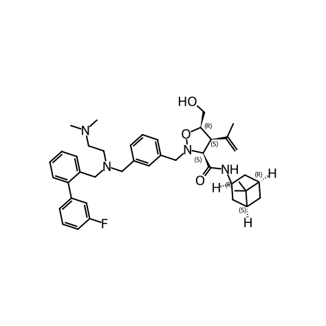 C=C(C)[C@@H]1[C@H](CO)ON(Cc2cccc(CN(CCN(C)C)Cc3ccccc3-c3cccc(F)c3)c2)[C@@H]1C(=O)N[C@@H]1C[C@@H]2C[C@H](C1)C2(C)C